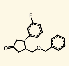 O=C1C[C@H](COCc2ccccc2)[C@H](c2cccc(F)c2)C1